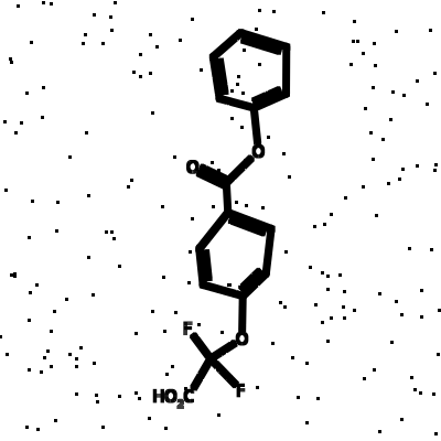 O=C(Oc1ccccc1)c1ccc(OC(F)(F)C(=O)O)cc1